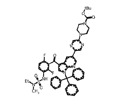 CCN(C)S(=O)(=O)Nc1ccc(F)c(C(=O)c2cn(C(c3ccccc3)(c3ccccc3)c3ccccc3)c3ncc(-c4cnc(N5CCN(C(=O)OC(C)(C)C)CC5)cn4)cc23)c1F